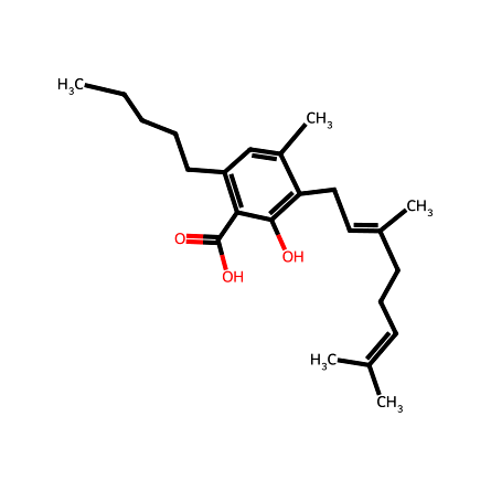 CCCCCc1cc(C)c(C/C=C(\C)CCC=C(C)C)c(O)c1C(=O)O